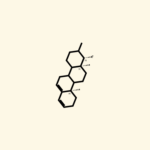 CC1CCC2C3CC=C4C=CCC[C@]4(C)C3CC[C@]2(C)[C@H]1F